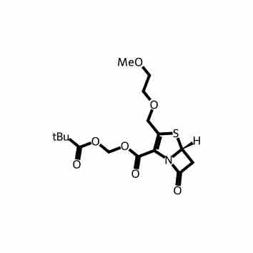 COCCOCC1=C(C(=O)OCOC(=O)C(C)(C)C)N2C(=O)C[C@H]2S1